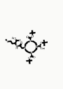 CSCCC(NC(=O)CN1CCN(C(=O)OC(C)(C)C)CCN(C(O)OC(C)(C)C)CCN(C(=O)OC(C)(C)C)CC1)C(=O)O